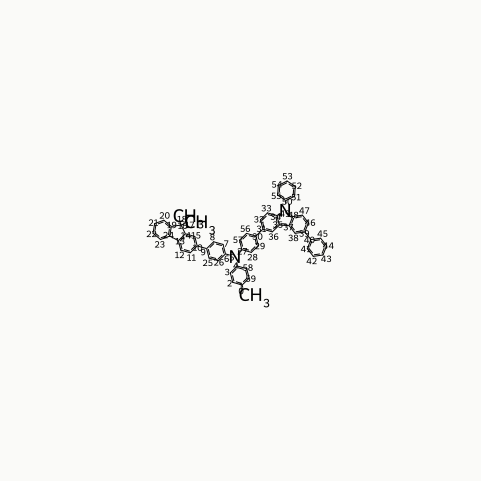 Cc1ccc(N(c2ccc(-c3ccc4c(c3)C(C)(C)c3ccccc3-4)cc2)c2ccc(-c3ccc4c(c3)c3cc(-c5ccccc5)ccc3n4-c3ccccc3)cc2)cc1